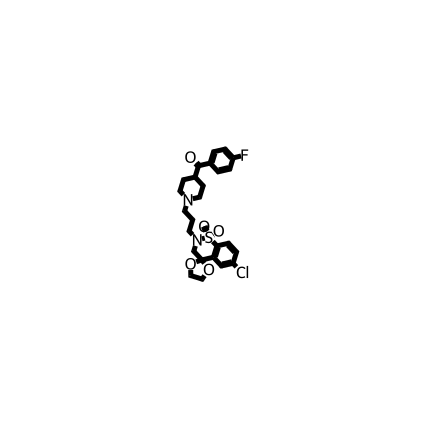 O=C(c1ccc(F)cc1)C1CCN(CCCN2CC3(OCCO3)c3cc(Cl)ccc3S2(=O)=O)CC1